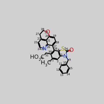 Cc1cc2c(sc(=O)n2Cc2ccccc2)c(-c2ccc3c4c(ccnc24)CCO3)c1CC(=O)O